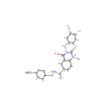 COc1ccc(CNC(=O)c2ccc3c(c2)c(=O)n(Cc2ccc(F)c(Cl)c2)c(=O)n3C)cc1